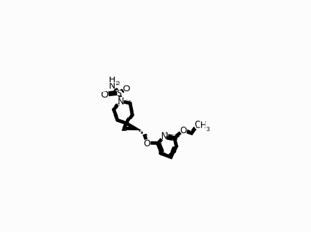 CCOc1cccc(OC[C@@H]2CC23CCN(S(N)(=O)=O)CC3)n1